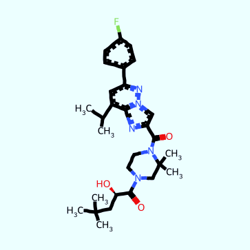 CC(C)c1cc(-c2ccc(F)cc2)nn2cc(C(=O)N3CCN(C(=O)[C@H](O)CC(C)(C)C)CC3(C)C)nc12